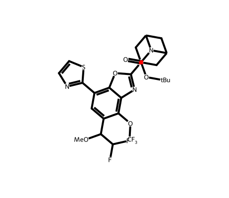 COC(c1cc(-c2nccs2)c2oc(N3CC4CC(C3)N4C(=O)OC(C)(C)C)nc2c1OC(F)(F)F)C(F)F